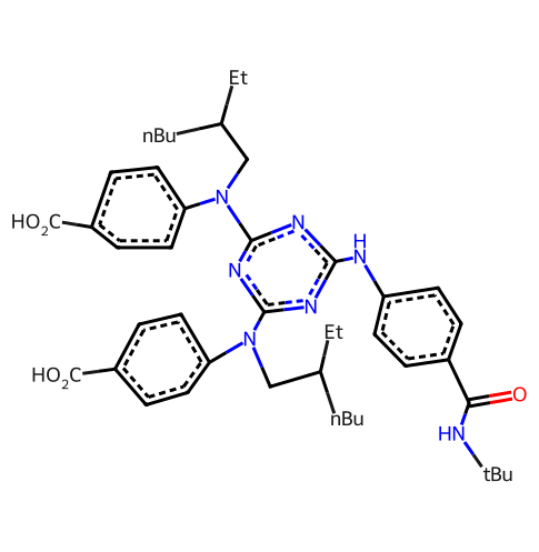 CCCCC(CC)CN(c1ccc(C(=O)O)cc1)c1nc(Nc2ccc(C(=O)NC(C)(C)C)cc2)nc(N(CC(CC)CCCC)c2ccc(C(=O)O)cc2)n1